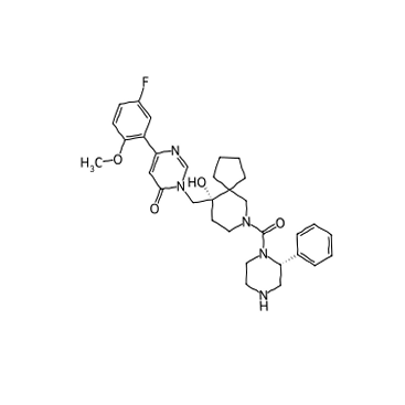 COc1ccc(F)cc1-c1cc(=O)n(C[C@]2(O)CCN(C(=O)N3CCNC[C@H]3c3ccccc3)CC23CCCC3)cn1